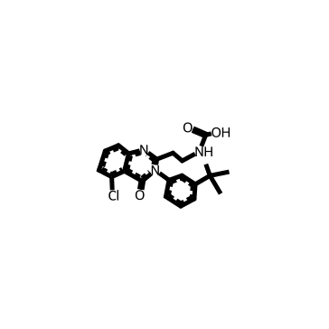 CC(C)(C)c1cccc(-n2c(CCNC(=O)O)nc3cccc(Cl)c3c2=O)c1